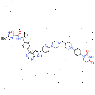 C[C@@H](NC(=O)c1nc(C(C)(C)C)no1)c1ccc(-c2ncnc3[nH]c(-c4ccc(N5CCN(CC6CCN(c7ccc(N8CCC(=O)NC8=O)cc7)CC6)CC5)nc4)cc23)cc1F